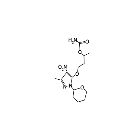 Cc1nn(C2CCCCO2)c(OCCC(C)OC(N)=O)c1[N+](=O)[O-]